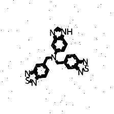 c1nc2cc(N(Cc3ccc4nsnc4c3)Cc3ccc4nsnc4c3)ccc2[nH]1